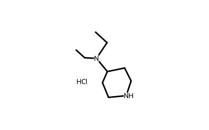 CCN(CC)C1CCNCC1.Cl